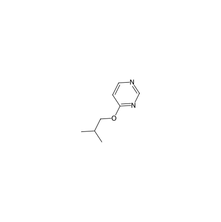 CC(C)COc1ccncn1